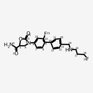 NC(=O)C1CN(c2ccc(-c3ccc(CNCCCF)cc3)c(F)c2)C(=O)O1